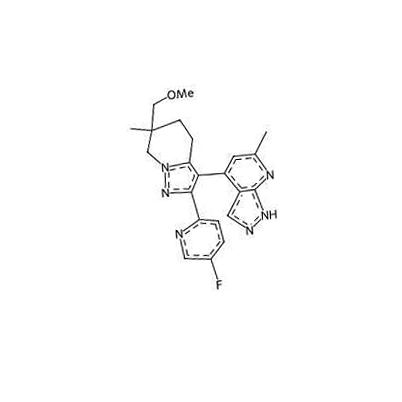 COCC1(C)CCc2c(-c3cc(C)nc4[nH]ncc34)c(-c3ccc(F)cn3)nn2C1